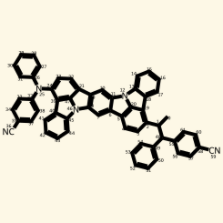 CC(c1ccc2c3cc4c(cc3n3c5ccccc5c1c23)c1ccc(N(c2ccccc2)c2ccc(C#N)cc2)c2c3ccccc3n4c12)C(c1ccccc1)c1ccc(C#N)cc1